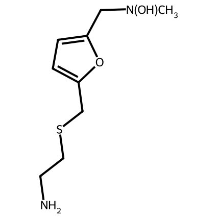 CN(O)Cc1ccc(CSCCN)o1